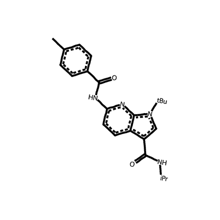 Cc1ccc(C(=O)Nc2ccc3c(C(=O)NC(C)C)cn(C(C)(C)C)c3n2)cc1